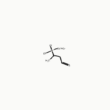 CC[N+](CC)(CC)C(C)CC=S.[OH-]